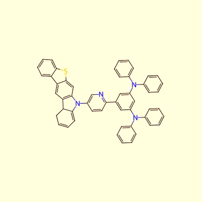 C1=CCC2C(=C1)N(c1ccc(-c3cc(N(c4ccccc4)c4ccccc4)cc(N(c4ccccc4)c4ccccc4)c3)nc1)c1cc3sc4ccccc4c3cc12